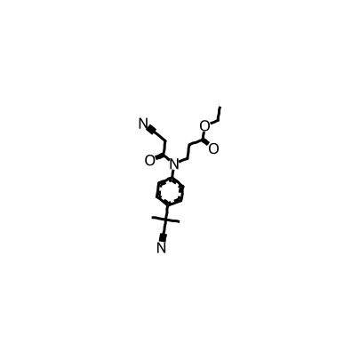 CCOC(=O)CCN(C(=O)CC#N)c1ccc(C(C)(C)C#N)cc1